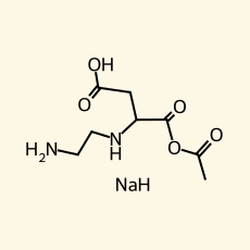 CC(=O)OC(=O)C(CC(=O)O)NCCN.[NaH]